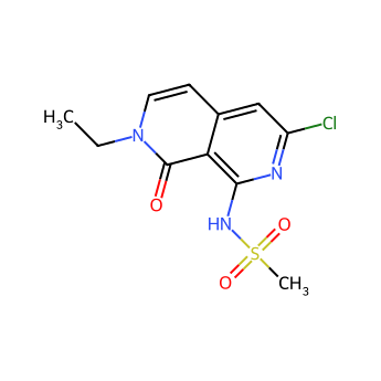 CCn1ccc2cc(Cl)nc(NS(C)(=O)=O)c2c1=O